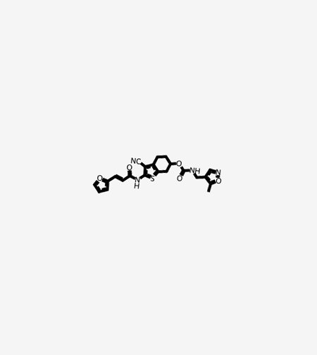 Cc1oncc1CNC(=O)OC1CCc2c(sc(NC(=O)C=Cc3ccco3)c2C#N)C1